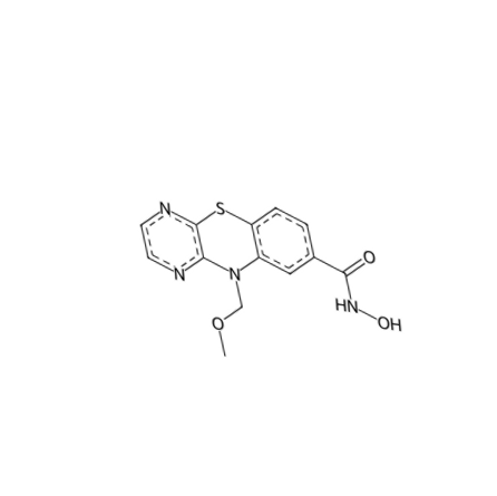 COCN1c2cc(C(=O)NO)ccc2Sc2nccnc21